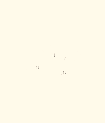 CC12C=CC=CC1N(c1ccccc1C1CC=C(C#N)C=C1n1c3ccccc3c3ccc4c5ccccc5oc4c31)c1ccccc12